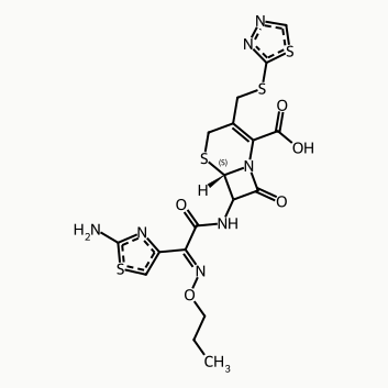 CCCON=C(C(=O)NC1C(=O)N2C(C(=O)O)=C(CSc3nncs3)CS[C@@H]12)c1csc(N)n1